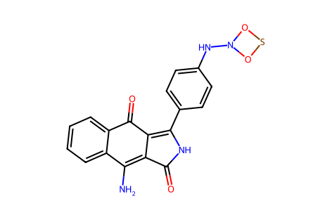 NC1=C2C(=O)NC(c3ccc(NN4OSO4)cc3)=C2C(=O)c2ccccc21